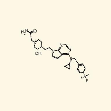 NC(=O)CN1CC[C@@H](CCn2ccc3c(N(Cc4ccc(C(F)(F)F)cc4)C4CC4)ncnc32)[C@H](O)C1